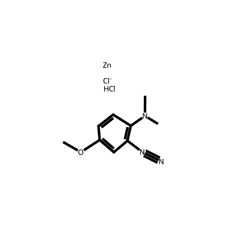 COc1ccc(N(C)C)c([N+]#N)c1.Cl.[Cl-].[Zn]